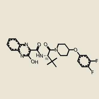 CC(C)(C)[C@H](NC(=O)c1nc2ccccc2nc1O)C(=O)N1CCC(Oc2ccc(F)c(F)c2)CC1